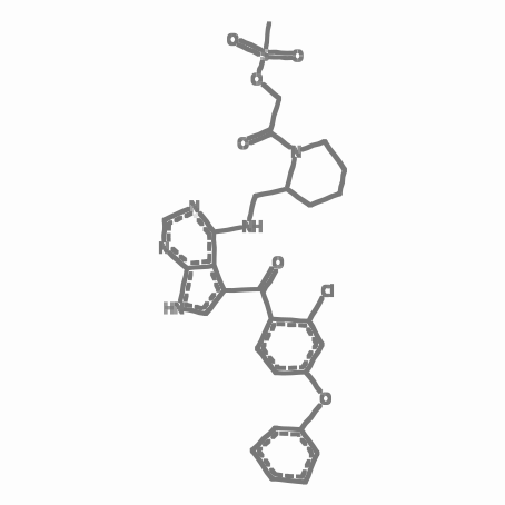 CS(=O)(=O)OCC(=O)N1CCCCC1CNc1ncnc2[nH]cc(C(=O)c3ccc(Oc4ccccc4)cc3Cl)c12